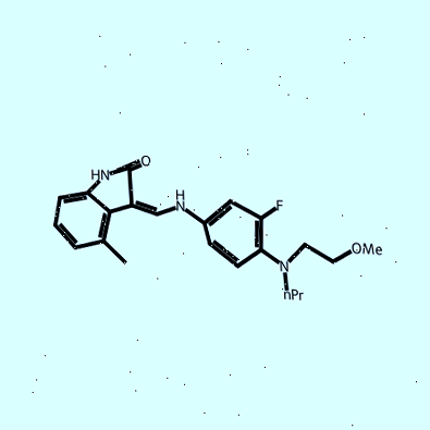 CCCN(CCOC)c1ccc(NC=C2C(=O)Nc3cccc(C)c32)cc1F